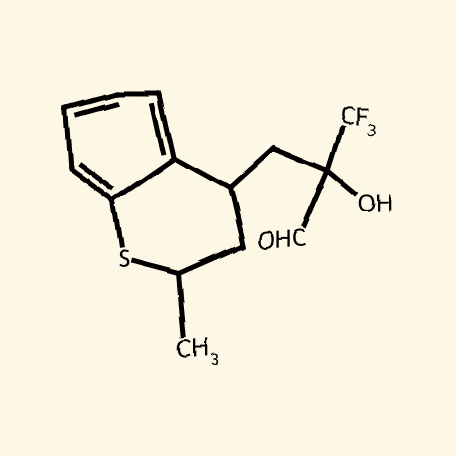 CC1CC(CC(O)(C=O)C(F)(F)F)c2ccccc2S1